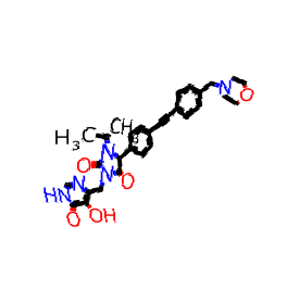 CC(C)N1C(=O)N(Cc2nc[nH]c(=O)c2O)C(=O)C1c1ccc(C#Cc2ccc(CN3CCOCC3)cc2)cc1